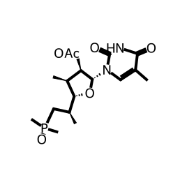 CC(=O)O[C@@H]1[C@H](C)[C@@H]([C@@H](C)CP(C)(C)=O)O[C@H]1n1cc(C)c(=O)[nH]c1=O